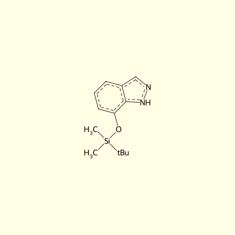 CC(C)(C)[Si](C)(C)Oc1cccc2cn[nH]c12